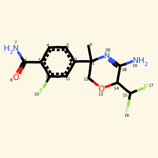 CC1(c2[c]cc(C(N)=O)c(F)c2)COC(C(F)F)C(N)=N1